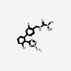 CC(C)N(O)C(=O)NCc1ccc(-c2cccc(Cl)c2-c2nnn(C)n2)cc1F